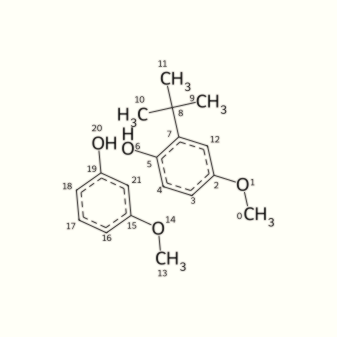 COc1ccc(O)c(C(C)(C)C)c1.COc1cccc(O)c1